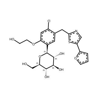 OCCOc1cc(Cl)c(Cc2ncc(-c3ccco3)s2)cc1[C@@H]1O[C@H](CO)[C@@H](O)[C@H](O)[C@H]1O